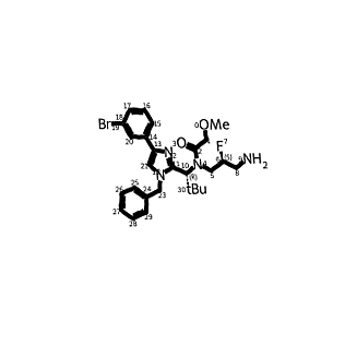 COCC(=O)N(C[C@@H](F)CN)[C@@H](c1nc(-c2cccc(Br)c2)cn1Cc1ccccc1)C(C)(C)C